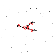 C=C(C)C(=O)OCCCCC(=O)O[C@@H]1C[C@H](OC(=O)CCCCOC(=O)C(C)(C)C)[C@H](OC(=O)CCCCOC(=O)C(C)(C)C)CO1